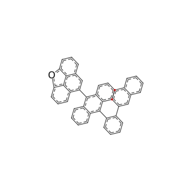 c1ccc(-c2c3ccccc3c(-c3cc4cccc5oc6cccc3c6c45)c3ccccc23)c(-c2ccc3ccccc3c2)c1